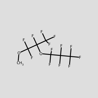 COC(F)(F)C(F)(OC(F)(F)C(F)(F)C(F)(F)F)C(F)(F)F